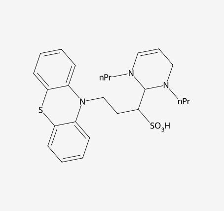 CCCN1C=CCN(CCC)C1C(CCN1c2ccccc2Sc2ccccc21)S(=O)(=O)O